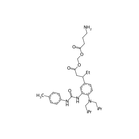 CCC(CC(=O)OCOC(=O)CCCN)c1ccc(N(CC(C)C)CC(C)C)c(NC(=O)Nc2ccc(C)cc2)c1